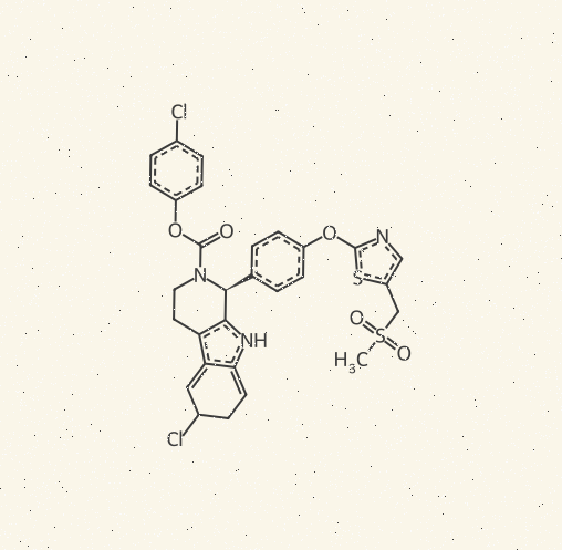 CS(=O)(=O)Cc1cnc(Oc2ccc([C@H]3c4[nH]c5c(c4CCN3C(=O)Oc3ccc(Cl)cc3)=CC(Cl)CC=5)cc2)s1